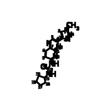 Cn1cc(-c2cnc3ccc(NC(=O)NC4CCCC4)nc3n2)nn1